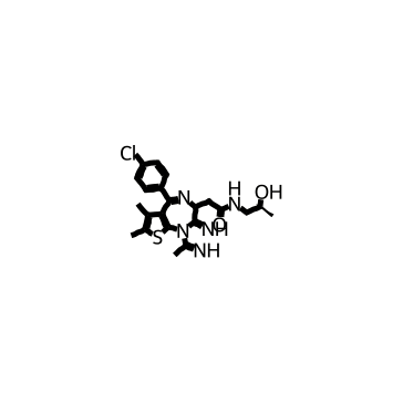 CC(=N)N1C(=N)C(CC(=O)NC[C@H](C)O)N=C(c2ccc(Cl)cc2)c2c1sc(C)c2C